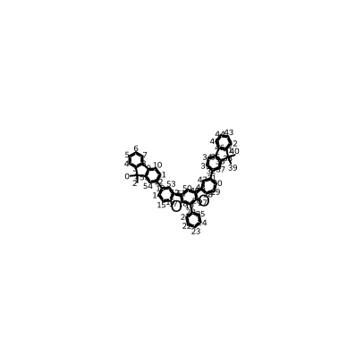 CC1(C)c2ccccc2-c2ccc(-c3ccc4oc5c(-c6ccccc6)c6oc7ccc(-c8ccc9c(c8)C(C)(C)c8ccccc8-9)cc7c6cc5c4c3)cc21